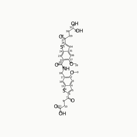 COc1cc2cc(C(=O)CCC(=O)O)sc2cc1CNC(=O)c1cc2sc(C(=O)CCC(O)O)cc2cc1OC